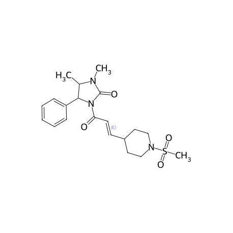 CC1C(c2ccccc2)N(C(=O)/C=C/C2CCN(S(C)(=O)=O)CC2)C(=O)N1C